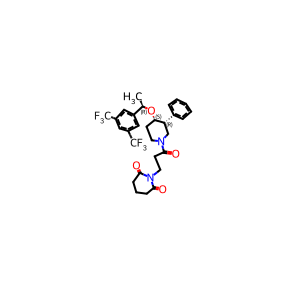 C[C@@H](O[C@H]1CCN(C(=O)CCN2C(=O)CCCC2=O)C[C@H]1c1ccccc1)c1cc(C(F)(F)F)cc(C(F)(F)F)c1